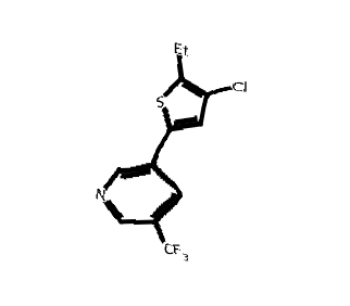 CCc1sc(-c2cncc(C(F)(F)F)c2)cc1Cl